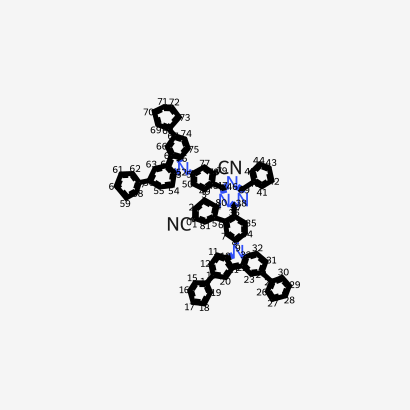 N#Cc1cccc(-c2cc(-n3c4ccc(-c5ccccc5)cc4c4cc(-c5ccccc5)ccc43)ccc2-c2nc(-c3ccccc3)nc(-c3ccc(-n4c5ccc(-c6ccccc6)cc5c5cc(-c6ccccc6)ccc54)cc3C#N)n2)c1